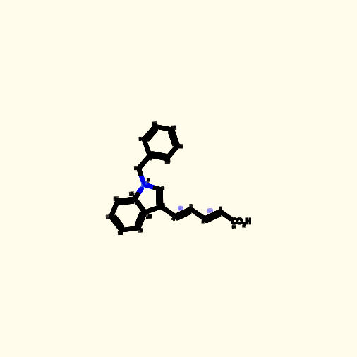 O=C(O)/C=C/C=C/c1cn(Cc2ccccc2)c2ccccc12